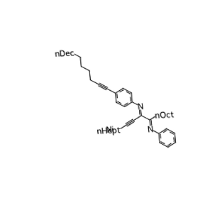 CCCCCCCC#CC(=N\c1ccc(C#CCCCCCCCCCCCCCC)cc1)/C(CCCCCCCC)=N/c1ccccc1.[Ni]